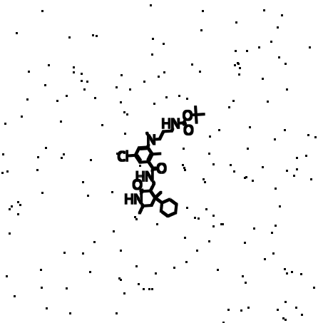 Cc1c(C(=O)NCC2C(=O)NC(C)CC2(C)C2CCCCC2)cc(Cl)cc1N(C)CCCNC(=O)OC(C)(C)C